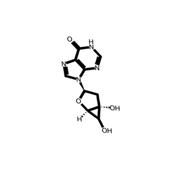 O=c1[nH]cnc2c1ncn2[C@H]1C[C@@]2(O)C(O)[C@H]2O1